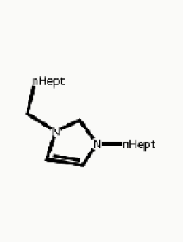 CCCCCCCCN1C=CN(CCCCCCC)C1